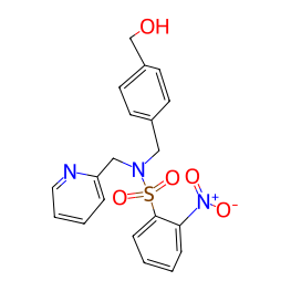 O=[N+]([O-])c1ccccc1S(=O)(=O)N(Cc1ccc(CO)cc1)Cc1ccccn1